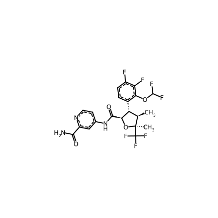 C[C@@H]1[C@@H](c2ccc(F)c(F)c2OC(F)F)[C@H](C(=O)Nc2ccnc(C(N)=O)c2)O[C@]1(C)C(F)(F)F